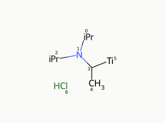 CC(C)N(C(C)C)[CH](C)[Ti].Cl